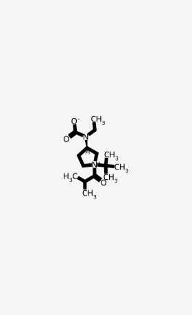 CCN(C(=O)[O-])[C@@H]1CC[N+](C(=O)C(C)C)(C(C)(C)C)C1